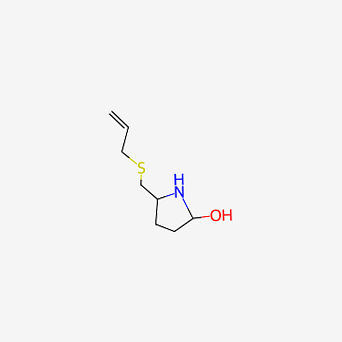 C=CCSCC1CCC(O)N1